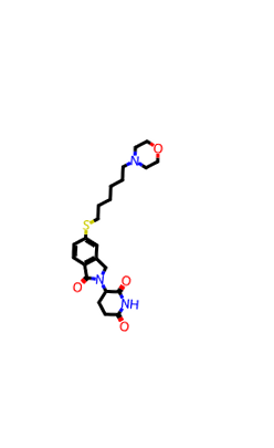 O=C1CCC(N2Cc3cc(SCCCCCCN4CCOCC4)ccc3C2=O)C(=O)N1